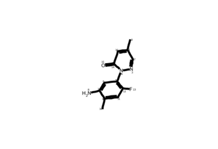 Cc1cnn(-c2cc(N)c(C)cc2F)c(=O)c1